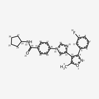 Cc1onc(-c2cccc(F)c2)c1-c1cn(-c2ccc(C(=O)NC3CCCC3)cc2)cn1